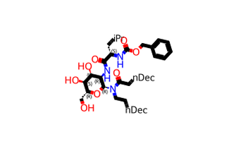 CCCCCCCCCCCCN(C(=O)CCCCCCCCCCC)[C@@H]1O[C@H](CO)[C@@H](O)[C@H](O)[C@H]1NC(=O)[C@H](CC(C)C)NC(=O)OCc1ccccc1